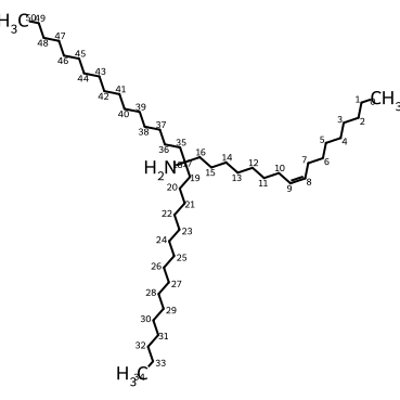 CCCCCCCC/C=C\CCCCCCCC(N)(CCCCCCCCCCCCCCCC)CCCCCCCCCCCCCCCC